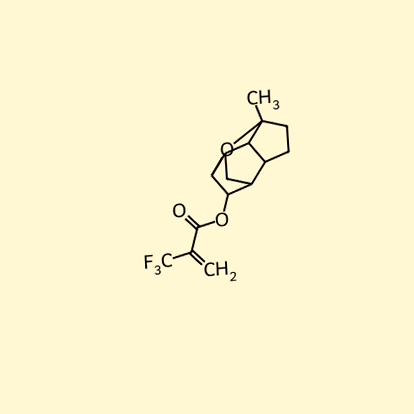 C=C(C(=O)OC1C2CC3C1OC1(C)CCC2C31)C(F)(F)F